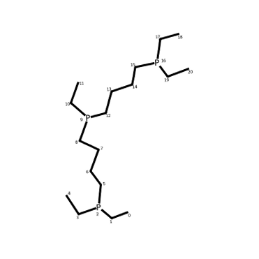 CCP(CC)CCCCP(CC)CCCCP(CC)CC